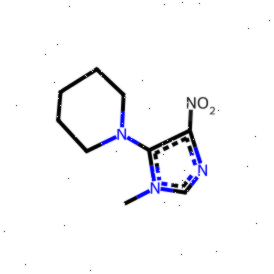 Cn1cnc([N+](=O)[O-])c1N1CCCCC1